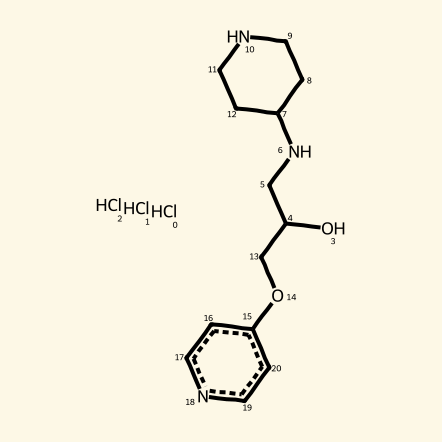 Cl.Cl.Cl.OC(CNC1CCNCC1)COc1ccncc1